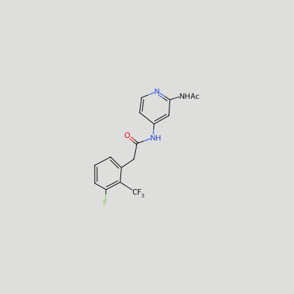 CC(=O)Nc1cc(NC(=O)Cc2cccc(F)c2C(F)(F)F)ccn1